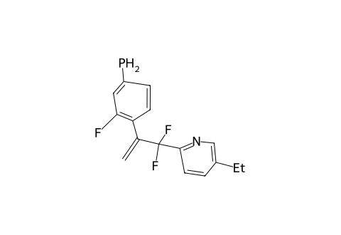 C=C(c1ccc(P)cc1F)C(F)(F)c1ccc(CC)cn1